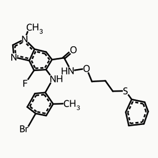 Cc1cc(Br)ccc1Nc1c(C(=O)NOCCCSc2ccccc2)cc2c(ncn2C)c1F